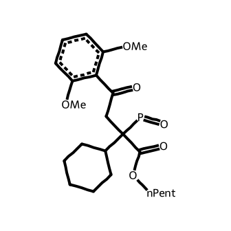 CCCCCOC(=O)C(CC(=O)c1c(OC)cccc1OC)(P=O)C1CCCCC1